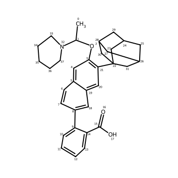 CC(Oc1cc2ccc(-c3ccccc3C(=O)O)cc2cc1C12CC3CC(CC(C3)C1)C2)N1CCCCC1